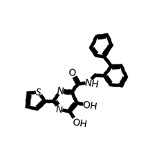 O=C(NCc1ccccc1-c1ccccc1)c1nc(-c2cccs2)nc(O)c1O